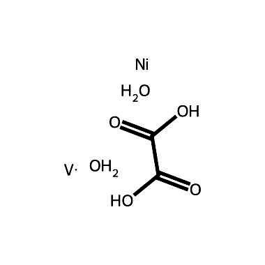 O.O.O=C(O)C(=O)O.[Ni].[V]